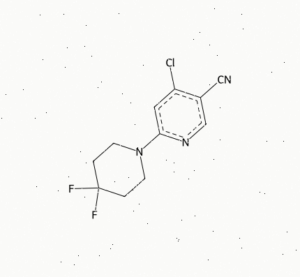 N#Cc1cnc(N2CCC(F)(F)CC2)cc1Cl